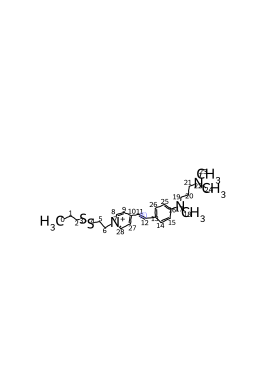 CCCSSCC[n+]1ccc(/C=C/c2ccc(N(C)CCCN(C)C)cc2)cc1